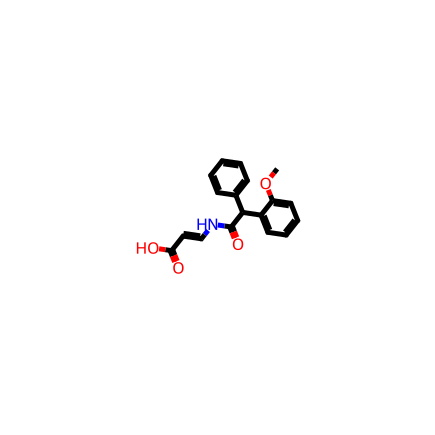 COc1ccccc1C(C(=O)NC=CC(=O)O)c1ccccc1